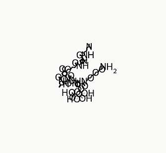 C=C1C[C@H]2C(O)N(C(=O)OCc3ccc(O[C@@H]4O[C@H](C(=O)O)[C@@H](O)[C@H](O)[C@H]4O)c(C(=O)NCCOCCOCCON)c3)c3cc(OCCCC(=O)Nc4cc(C(=O)NCCCN(C)C)n(C)c4)c(OC)cc3C(=O)N2C1